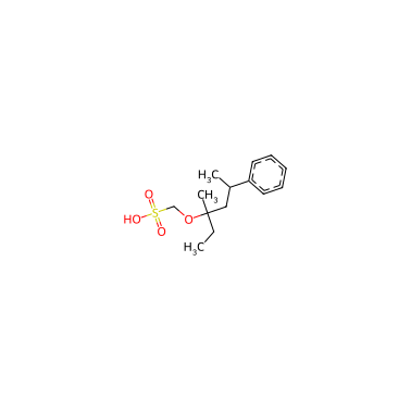 CCC(C)(CC(C)c1ccccc1)OCS(=O)(=O)O